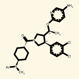 CC(=O)N(C)[C@H]1CC[C@H](C(=O)N2CC([C@H](C)Oc3ccc(N)cn3)[C@@H](c3ccc(Cl)c(Cl)c3)C2)CC1